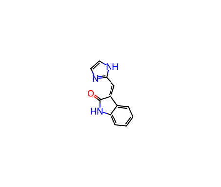 O=C1Nc2ccccc2C1=Cc1ncc[nH]1